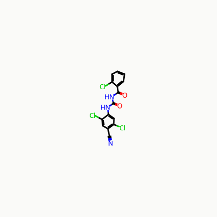 N#Cc1cc(Cl)c(NC(=O)NC(=O)c2ccccc2Cl)cc1Cl